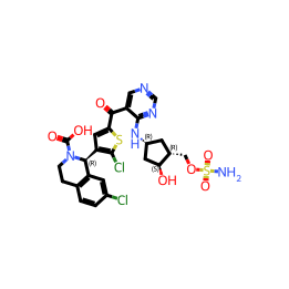 NS(=O)(=O)OC[C@H]1C[C@@H](Nc2ncncc2C(=O)c2cc([C@H]3c4cc(Cl)ccc4CCN3C(=O)O)c(Cl)s2)C[C@@H]1O